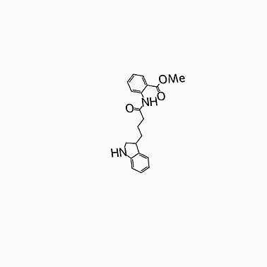 COC(=O)c1ccccc1NC(=O)CCCC1CNc2ccccc21